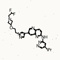 CC(C)c1cnnc(Nc2ccc3ncc(-c4cnn(CCOC5CN(CC(F)F)C5)c4)cc3n2)c1